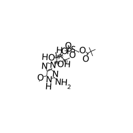 COC1NC(N)=Nc2c1ncn2[C@@H]1O[C@@H]2COP(=O)(SCOC(=O)C(C)(C)C)O[C@H]2[C@@]1(C)O